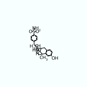 CN1CC[C@]2(C)c3cc(O)ccc3C[C@H]1[C@@H]2NCCc1ccc(S(N)(=O)=O)cc1